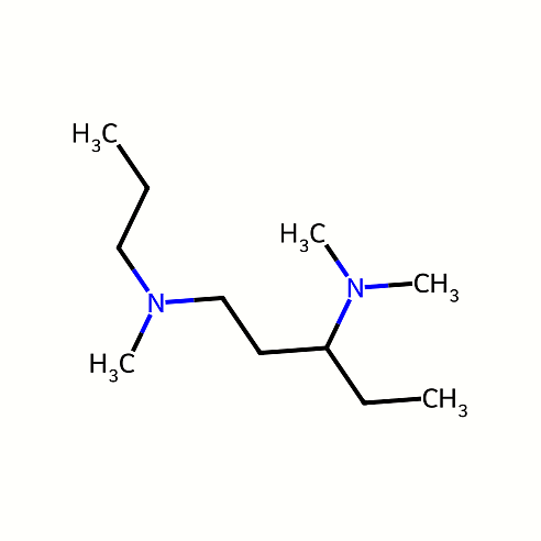 CCCN(C)CCC(CC)N(C)C